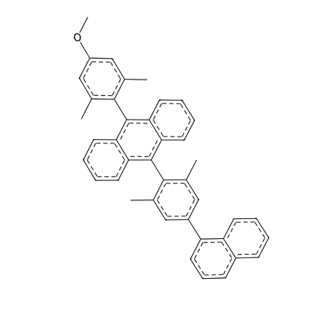 COc1cc(C)c(-c2c3ccccc3c(-c3c(C)cc(-c4cccc5ccccc45)cc3C)c3ccccc23)c(C)c1